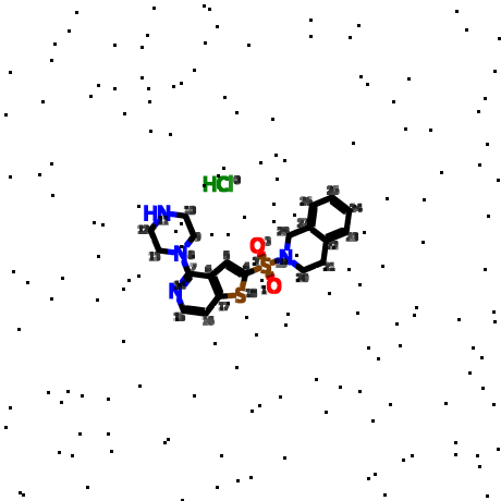 Cl.O=S(=O)(c1cc2c(N3CCNCC3)nccc2s1)N1CCc2ccccc2C1